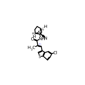 C/C(=C\c1csc2ccc(Cl)cc12)C(=O)N[C@@H]1C[C@@H]2CC[C@H]1N2C#N